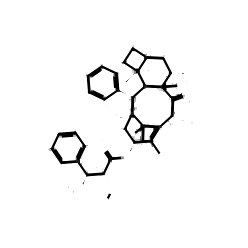 CC(=O)N[C@@H](c1ccccc1)[C@@H](OC(C)(C)C)C(=O)O[C@H]1C[C@@]2(O)[C@@H](c3ccccc3)C3C(C)(C(=O)[C@H](O)C(=C1C)C2(C)C)[C@@H](O)CC1CC[C@]13C